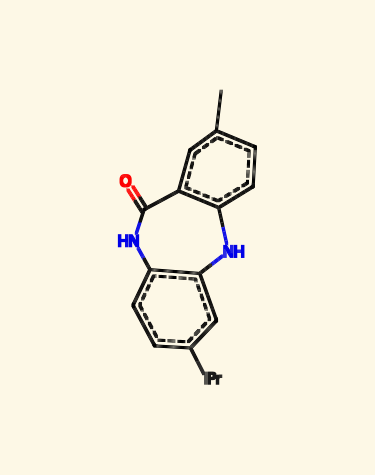 Cc1ccc2c(c1)C(=O)Nc1ccc(C(C)C)cc1N2